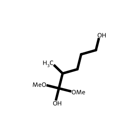 COC(O)(OC)C(C)CCCO